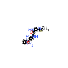 Cc1nc(-c2ccc3c(c2)C(=CCNc2ccc(C(=O)Nc4ccccc4N)cc2)C(=O)N3)cs1